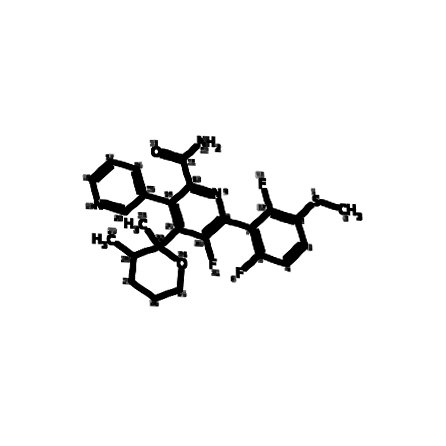 CSc1ccc(F)c(-c2nc(C(N)=O)c(-c3cccnc3)c(C3(C)OCCCC3C)c2F)c1F